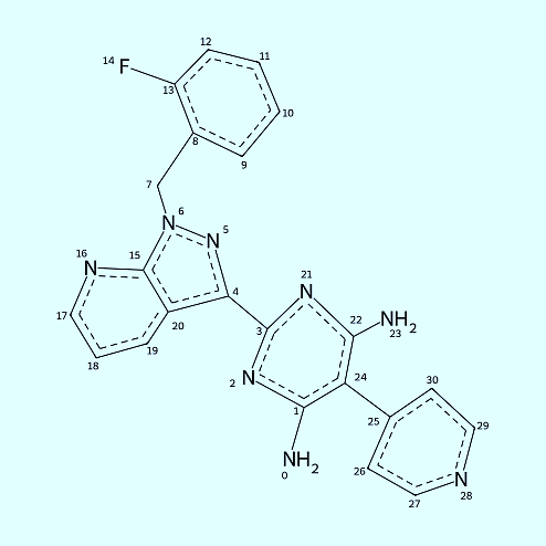 Nc1nc(-c2nn(Cc3ccccc3F)c3ncccc23)nc(N)c1-c1ccncc1